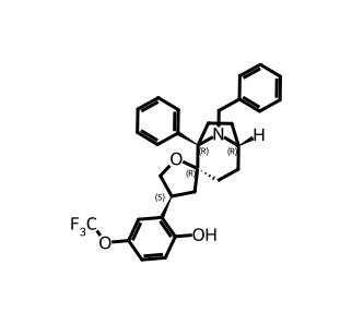 Oc1ccc(OC(F)(F)F)cc1[C@H]1CO[C@]2(CC[C@H]3CC[C@]2(c2ccccc2)N3Cc2ccccc2)C1